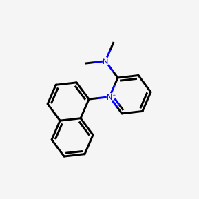 CN(C)c1cccc[n+]1-c1cccc2ccccc12